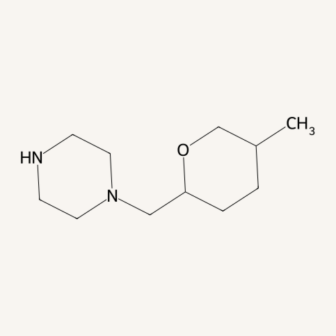 CC1CCC(CN2CCNCC2)OC1